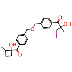 CC1CCC1(O)C(=O)c1ccc(COCc2ccc(C(=O)C(C)(O)CI)cc2)cc1